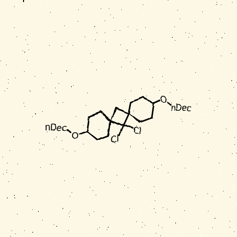 CCCCCCCCCCOC1CC[C@]2(CC1)C[C@@]1(CCC(OCCCCCCCCCC)CC1)C2(Cl)Cl